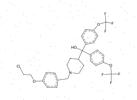 OC(c1ccc(OC(F)(F)F)cc1)(c1ccc(OC(F)(F)F)cc1)C1CCN(Cc2ccc(OCCCl)cc2)CC1